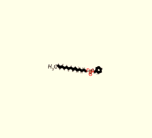 CCCCCCCCCCCCCCCOS(=O)OCC1CCCCC1